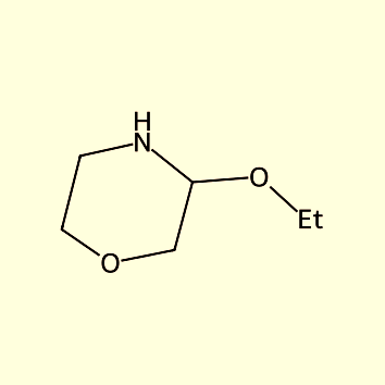 CCOC1COCCN1